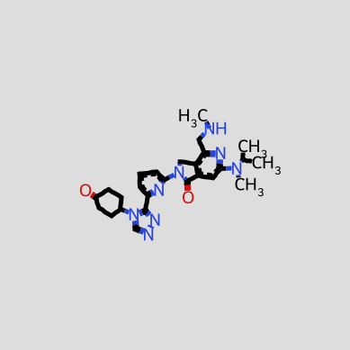 CNCc1nc(N(C)C(C)C)cc2c1CN(c1cccc(-c3nncn3C3CCC(=O)CC3)n1)C2=O